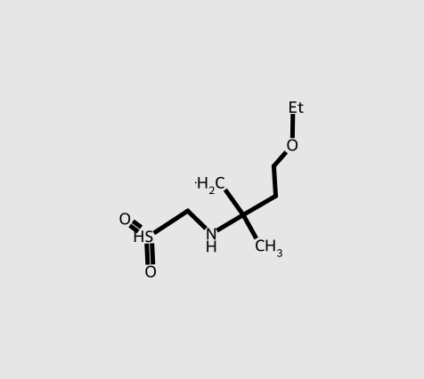 [CH2]C(C)(CCOCC)NC[SH](=O)=O